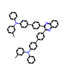 Cc1cccc(N(c2ccccc2)c2ccc(-c3ccc(-c4nc5ccccc5nc4-c4ccc(-c5ccc(N(c6ccccc6)c6cccc(C)c6)cc5)cc4)cc3)cc2)c1